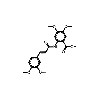 COc1ccc(C=CC(=O)Nc2cc(OC)c(OC)cc2C(=O)O)cc1OC